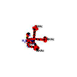 COCCOC(COCCOCCn1cc(COCC(COCc2cn(CCOCCOCCOCCOC[C@@]34COC(O3)C(NC(C)=O)[C@H]3OC(C)(C)OC34)nn2)(COCc2cn(CCOCCOCCOCCOC[C@@]34COC(O3)C(NC(C)=O)[C@H]3OC(C)(C)OC34)nn2)C(CCCCSSc2ccccn2)C(N)=O)nn1)[C@]12COC(O1)C(NC(C)=O)C1OC(C)(C)O[C@H]12